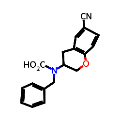 N#Cc1ccc2c(c1)CC(N(Cc1ccccc1)C(=O)O)CO2